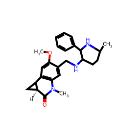 COc1cc2c(cc1CNC1CCC(C)NC1c1ccccc1)N(C)C(=O)[C@H]1CC21